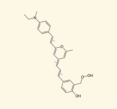 CCN(C)c1ccc(/C=C/C2=CC(=C/C=C/c3ccc(O)c(COO)c3)/C=C(C)O2)cc1